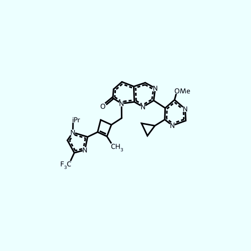 COc1ncnc(C2CC2)c1-c1ncc2ccc(=O)n(CC3CC(c4nc(C(F)(F)F)cn4C(C)C)=C3C)c2n1